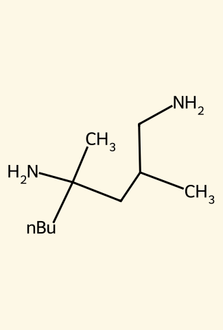 CCCCC(C)(N)CC(C)CN